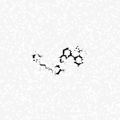 CNC1(c2ccc(F)cc2-c2cccc3cc(-c4nc(NCCn5ccnn5)ncc4F)sc23)CC1